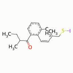 CCC(C)C(=O)c1cccc(C)c1/C=C\C(C)CSI